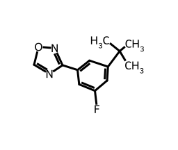 CC(C)(C)c1cc(F)cc(-c2ncon2)c1